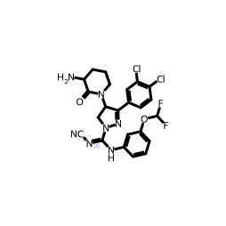 N#C/N=C(/Nc1cccc(OC(F)F)c1)N1CC(N2CCCC(N)C2=O)C(c2ccc(Cl)c(Cl)c2)=N1